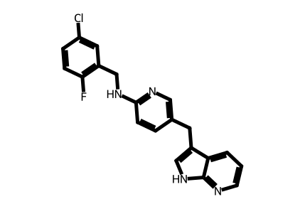 Fc1ccc(Cl)cc1CNc1ccc(Cc2c[nH]c3ncccc23)cn1